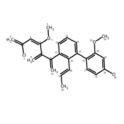 C=C(Cl)/C=C(/OC)C(=C)C(=C)c1cccc(-c2ccc(Cl)cc2OC)c1C=CC